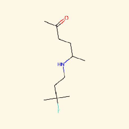 CC(=O)CCC(C)NCCC(C)(C)F